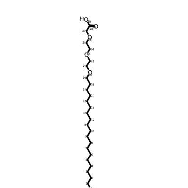 CCCCCCCCCCCCCCCCCCCCOCCOCCOCC(=O)O